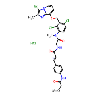 COCC(=O)Nc1ccc(/C=C/C(=O)NCC(=O)N(C)c2ccc(Cl)c(COc3cccn4c(Br)c(C)nc34)c2Cl)cc1.Cl